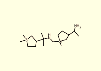 CC(N)C1CC[Si](C)(CNC(C)(C)C2CC[Si](C)(C)C2)C1